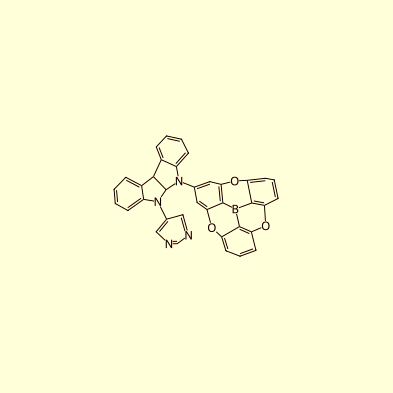 c1cc2c3c(c1)Oc1cc(N4c5ccccc5C5c6ccccc6N(c6cncnc6)C54)cc4c1B3c1c(cccc1O4)O2